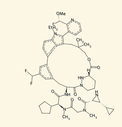 CCn1c(-c2cccnc2[C@H](C)OC)c2c3cc(ccc31)-c1cc(cc(C(F)F)c1)C[C@H](NC(=O)[C@H](C1CCCC1)N(C)C(=O)CN(C)C(=O)[C@@H]1N[C@@H]1C1CC1)C(=O)N1CCC[C@H](N1)C(=O)OCC(C)(C)C2